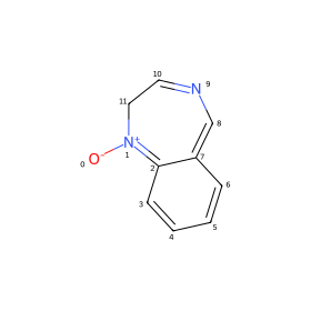 [O-][N+]1=c2ccccc2=CN=CC1